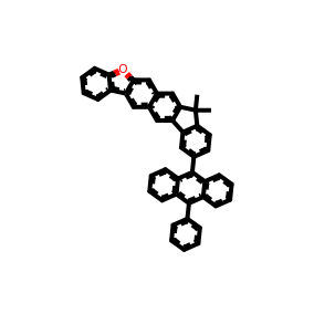 CC1(C)c2ccc(-c3c4ccccc4c(-c4ccccc4)c4ccccc34)cc2-c2cc3cc4c(cc3cc21)oc1ccccc14